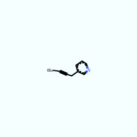 CC(C)(C)C#CCc1cccnc1